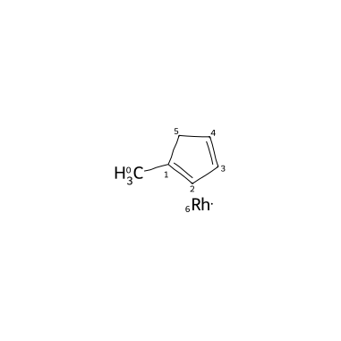 CC1=CC=CC1.[Rh]